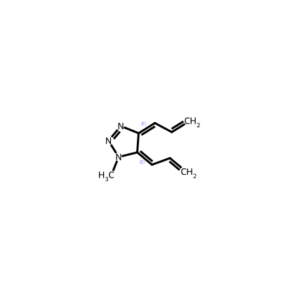 C=C/C=c1/nnn(C)/c1=C/C=C